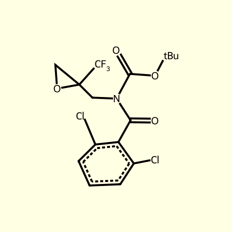 CC(C)(C)OC(=O)N(CC1(C(F)(F)F)CO1)C(=O)c1c(Cl)cccc1Cl